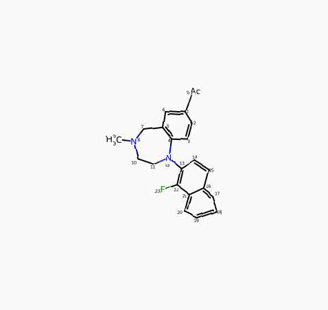 CC(=O)c1ccc2c(c1)CN(C)CCN2c1ccc2ccccc2c1F